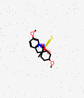 COc1ccc2c(c1)C1(NC(=S)NC1=O)C1(CCC(OC)CC1)C2